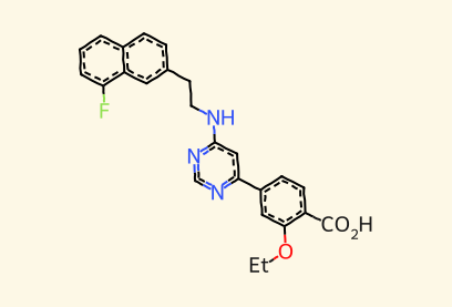 CCOc1cc(-c2cc(NCCc3ccc4cccc(F)c4c3)ncn2)ccc1C(=O)O